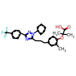 Cc1cc(CCCc2nc(-c3ccc(C(F)(F)F)cc3)nn2-c2ccccc2)ccc1OC(C)(C)C(=O)O